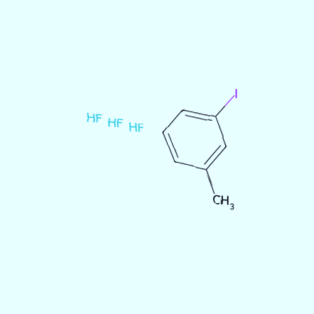 Cc1cccc(I)c1.F.F.F